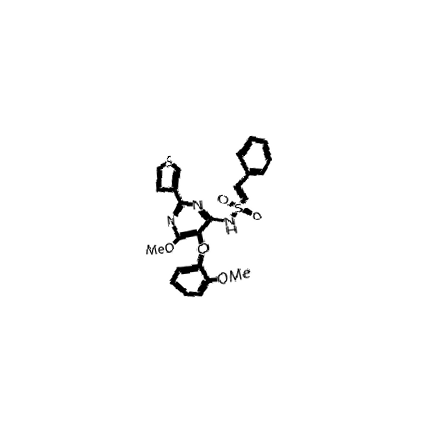 COc1ccccc1Oc1c(NS(=O)(=O)C=Cc2ccccc2)nc(-c2ccsc2)nc1OC